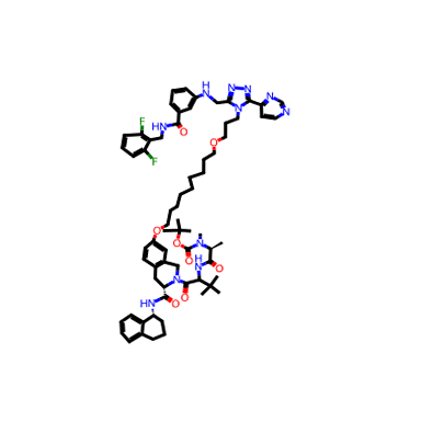 C[C@@H](C(=O)NC(C(=O)N1Cc2cc(OCCCCCCCCCOCCCn3c(CNc4cccc(C(=O)NCc5c(F)cccc5F)c4)nnc3-c3ccncn3)ccc2C[C@H]1C(=O)N[C@@H]1CCCc2ccccc21)C(C)(C)C)N(C)C(=O)OC(C)(C)C